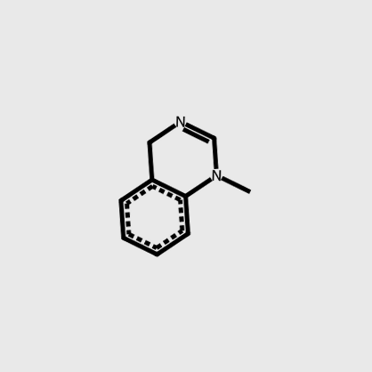 CN1C=NCc2ccccc21